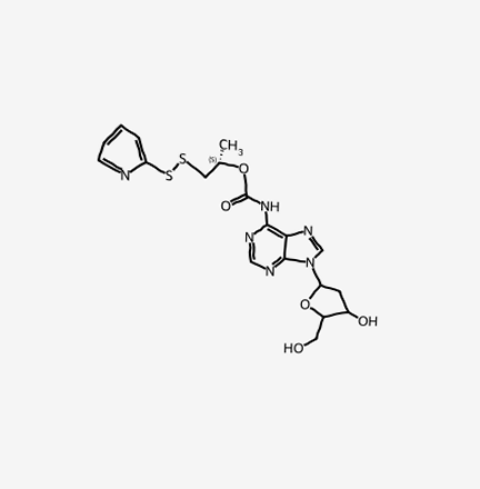 C[C@@H](CSSc1ccccn1)OC(=O)Nc1ncnc2c1ncn2C1CC(O)C(CO)O1